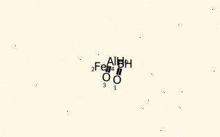 B=O.[Fe].[O]=[AlH]